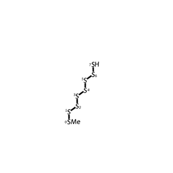 CSSSSSSSS